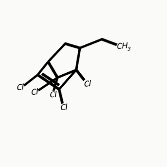 CCC1CC2C(Cl)=C(Cl)C1(Cl)C2(Cl)Cl